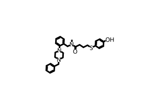 CN(Cc1ccccc1N1CCN(Cc2ccccc2)CC1)C(=O)CCCSc1ccc(O)cc1